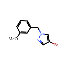 COc1cccc(Cn2cc(Br)cn2)c1